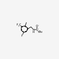 Cc1c(CN[S@+]([O-])C(C)(C)C)cc(F)cc1C(F)(F)F